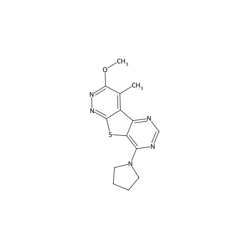 COc1nnc2sc3c(N4CCCC4)ncnc3c2c1C